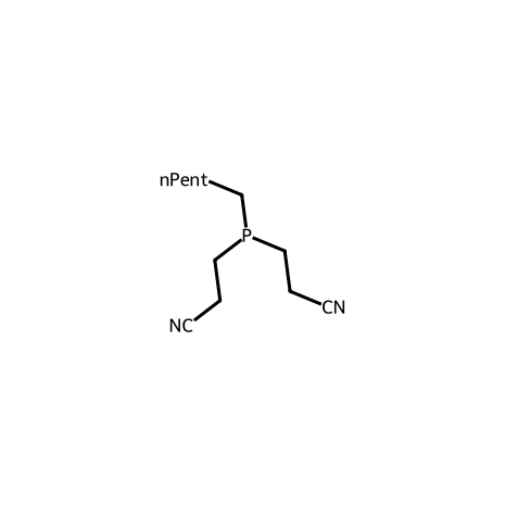 CCCCCCP(CCC#N)CCC#N